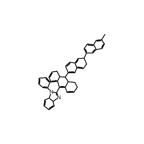 Cc1ccc2cc(C3C=c4ccc(C5C6CC=CC=C6C(C6=NC7C=CC=CC7N6c6ccccc6)=C6C=CCCC65)cc4=CC3)ccc2c1